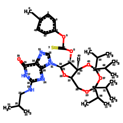 Cc1ccc(OC(=S)O[C@H]2[C@H](n3cnc4c(=O)[nH]c(NCC(C)C)nc43)OC3CO[Si](C(C)C)(C(C)C)O[Si](C(C)C)(C(C)C)O[C@@H]32)cc1